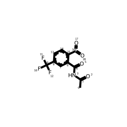 CC(=O)NC(=O)c1cc(C(F)(F)F)ccc1I(=O)=O